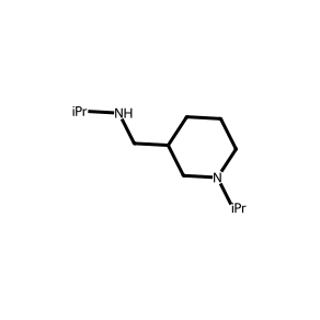 CC(C)NCC1CCCN(C(C)C)C1